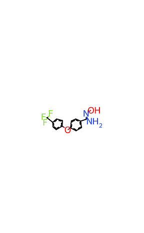 N/C(=N\O)c1ccc(Oc2ccc(C(F)(F)F)cc2)cc1